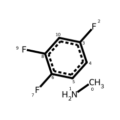 CN.Fc1ccc(F)c(F)c1